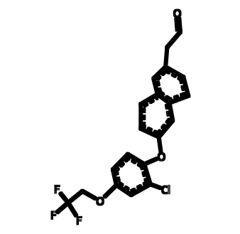 O=CCc1ccc2cc(Oc3ccc(OCC(F)(F)F)cc3Cl)ccc2c1